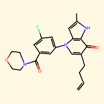 C=CCCc1cn(-c2cc(F)cc(C(=O)N3CCOCC3)c2)c2cc(C)[nH]c2c1=O